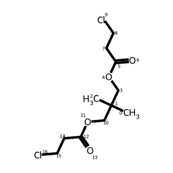 CC(C)(COC(=O)CCCl)COC(=O)CCCl